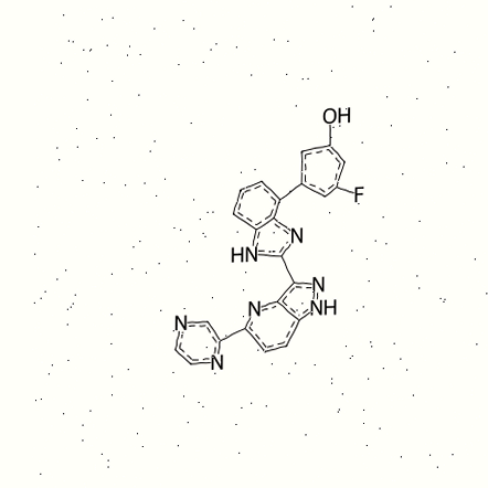 Oc1cc(F)cc(-c2cccc3[nH]c(-c4n[nH]c5ccc(-c6cnccn6)nc45)nc23)c1